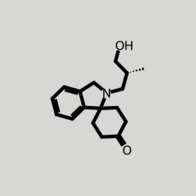 C[C@@H](CO)CN1Cc2ccccc2C12CCC(=O)CC2